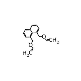 C=COCc1cccc2cccc(COC=C)c12